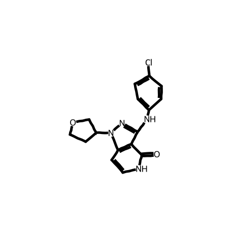 O=c1[nH]ccc2c1c(Nc1ccc(Cl)cc1)nn2[C]1CCOC1